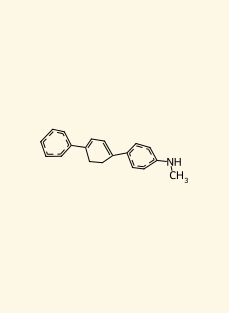 CNc1ccc(C2=CC=C(c3ccccc3)CC2)cc1